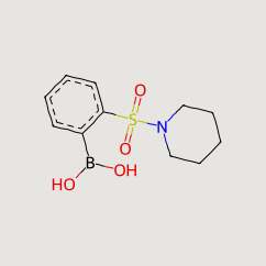 O=S(=O)(c1ccccc1B(O)O)N1CCCCC1